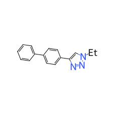 CCn1cc(-c2ccc(-c3ccccc3)cc2)nn1